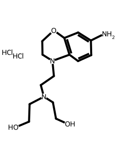 Cl.Cl.Nc1ccc2c(c1)OCCN2CCN(CCO)CCO